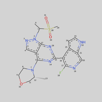 CC(n1ncc2c(N3CCOC[C@H]3C)nc(-c3c(F)ncc4[nH]ccc34)nc21)S(C)(=O)=O